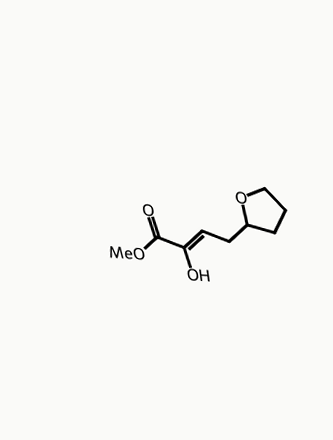 COC(=O)C(O)=CCC1CCCO1